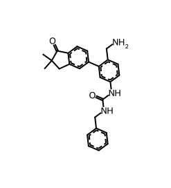 CC1(C)Cc2cc(-c3cc(NC(=O)NCc4ccccc4)ccc3CN)ccc2C1=O